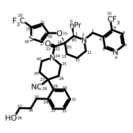 CCC[C@H]1N(Cc2cnccc2C(F)(F)F)CCC[C@@]1(Oc1csc(C(F)(F)F)c1)C(=O)N1CCC(C#N)(c2ccccc2CCCO)CC1